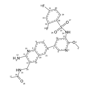 COc1ncc(-c2ccc3nc(N)c(CNC(C)=O)cc3c2)cc1NS(=O)(=O)c1ccc(F)cc1F